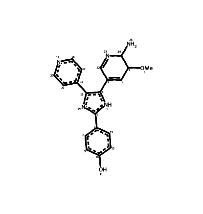 COC1C=C(c2[nH]c(-c3ccc(O)cc3)nc2-c2ccncc2)C=NC1N